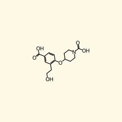 O=C(O)c1ccc(OC2CCN(C(=O)O)CC2)c(CCO)c1